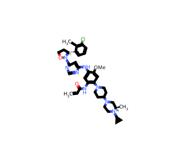 C=CC(=O)Nc1cc(Nc2cc(N3OCC[C@@H]3c3cccc(Cl)c3C)ncn2)c(OC)cc1N1CCC(N2CCN(C3CC3)[C@H](C)C2)CC1